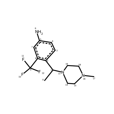 CC(c1ccc(N)cc1C(F)(F)F)N1CCN(C)CC1